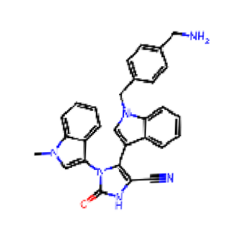 Cn1cc(-n2c(-c3cn(Cc4ccc(CN)cc4)c4ccccc34)c(C#N)[nH]c2=O)c2ccccc21